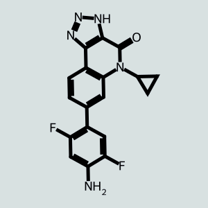 Nc1cc(F)c(-c2ccc3c4nn[nH]c4c(=O)n(C4CC4)c3c2)cc1F